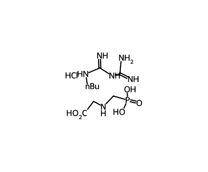 CCCCNC(=N)NC(=N)N.Cl.O=C(O)CNCP(=O)(O)O